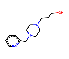 OCCCN1CCN(Cc2ccccn2)CC1